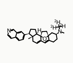 [2H]C([2H])([2H])N(C)[C@H]1CCC2=CC3=CC[C@]4(C)[C@@H](c5ccc6ccncc6c5)CC[C@H]4[C@@]34CC[C@]2(C1)O4